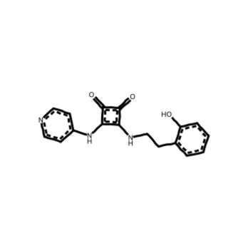 O=c1c(NCCc2ccccc2O)c(Nc2ccncc2)c1=O